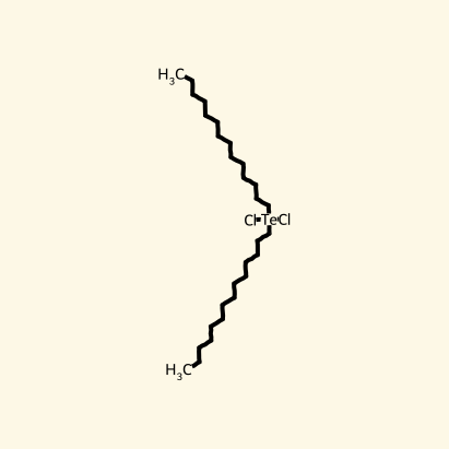 CCCCCCCCCCCCCC[Te](Cl)(Cl)CCCCCCCCCCCCCC